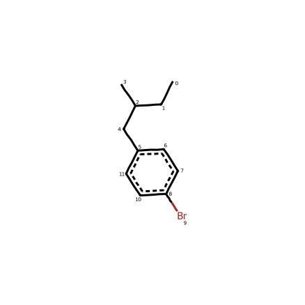 CCC(C)Cc1ccc(Br)cc1